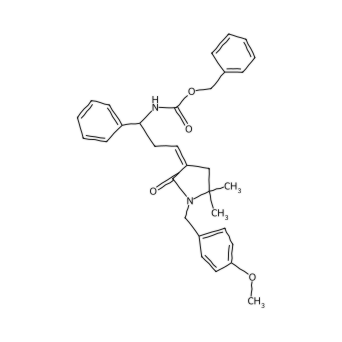 COc1ccc(CN2C(=O)/C(=C\CC(NC(=O)OCc3ccccc3)c3ccccc3)CC2(C)C)cc1